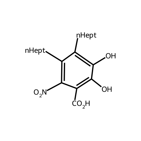 CCCCCCCc1c(O)c(O)c(C(=O)O)c([N+](=O)[O-])c1CCCCCCC